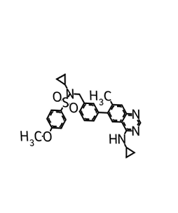 COc1ccc(S(=O)(=O)N(Cc2cccc(-c3cc4c(NC5CC5)ncnc4cc3C)c2)C2CC2)cc1